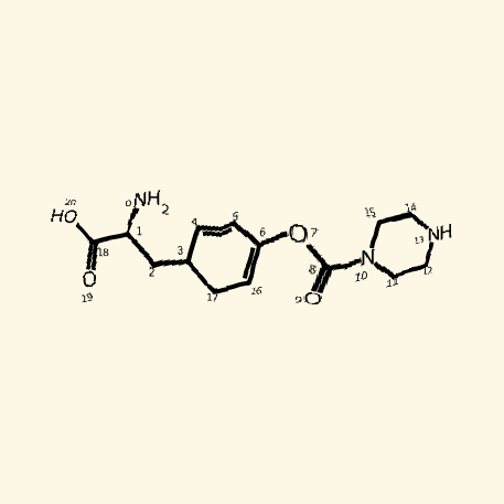 N[C@@H](CC1C=CC(OC(=O)N2CCNCC2)=CC1)C(=O)O